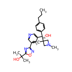 CCCc1ccc([C@](O)(c2cncc(-c3noc(C(C)(C)O)n3)c2)C2(C)CN(C)C2)cc1